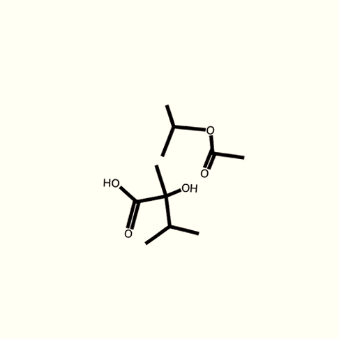 CC(=O)OC(C)C.CC(C)C(C)(O)C(=O)O